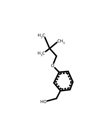 CC(C)(C)COc1cccc(CO)c1